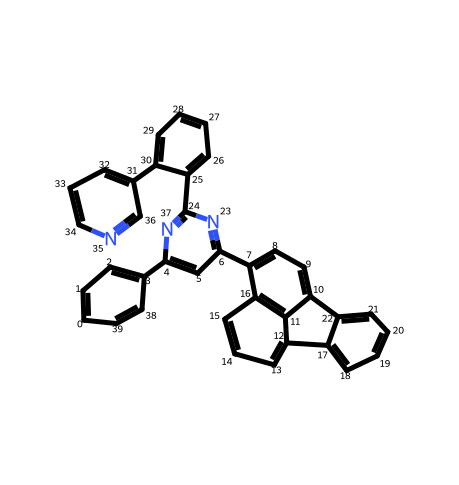 c1ccc(-c2cc(-c3ccc4c5c(cccc35)-c3ccccc3-4)nc(-c3ccccc3-c3cccnc3)n2)cc1